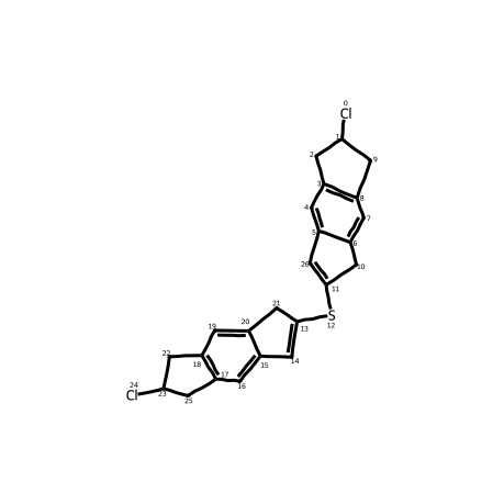 ClC1Cc2cc3c(cc2C1)CC(SC1=Cc2cc4c(cc2C1)CC(Cl)C4)=C3